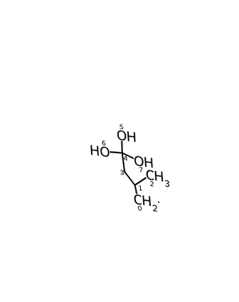 [CH2]C(C)CC(O)(O)O